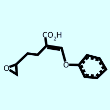 O=C(O)C(=COc1ccccc1)CCC1CO1